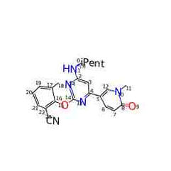 CCC[C@H](C)Nc1cc(-c2ccc(=O)n(C)c2)nc(Oc2c(C)cccc2C#N)n1